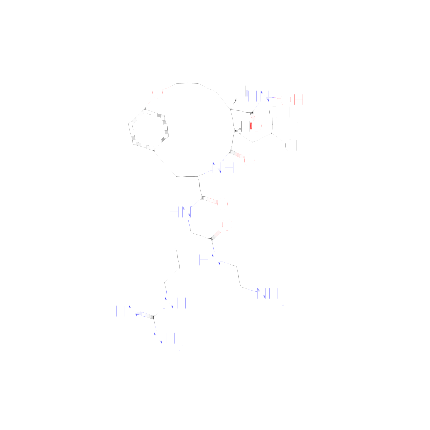 CC(C)C[C@H]1C(=O)NC(C(=O)N[C@@H](CCCNC(=N)N)C(=O)NCCN)Cc2ccc(cc2)OCCC[C@@H]1C(=O)NO